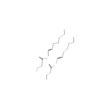 CCCCCCCCCCCCCCC=COC(=O)CCC(=O)[O-].CCCCCCCCCCCCCCC=COC(=O)CCC(=O)[O-].[Ca+2]